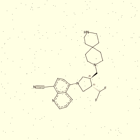 N#Cc1ccc(N2C[C@@H](CN3CCC4(CCNCC4)CC3)[C@H](C(F)F)C2)c2cccnc12